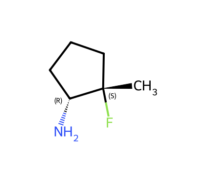 C[C@]1(F)CCC[C@H]1N